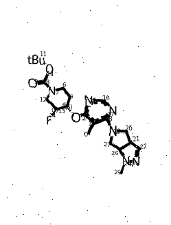 Cc1c(O[C@H]2CCN(C(=O)OC(C)(C)C)C[C@@H]2F)ncnc1N1CC2C=NN(C)C2C1